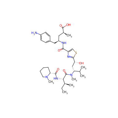 CC[C@H](C)[C@H](NC(=O)[C@H]1CCCCN1C)C(=O)N(C)[C@H](C[C@@H](O)c1nc(C(=O)N[C@@H](Cc2ccc(N)cc2)C[C@H](C)C(=O)O)cs1)C(C)C